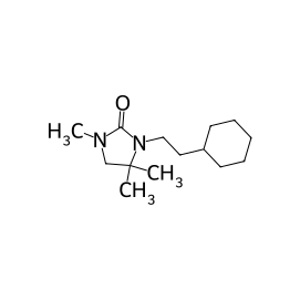 CN1CC(C)(C)N(CCC2CCCCC2)C1=O